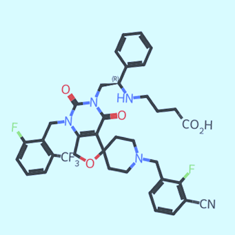 N#Cc1cccc(CN2CCC3(CC2)OCc2c3c(=O)n(C[C@H](NCCCC(=O)O)c3ccccc3)c(=O)n2Cc2c(F)cccc2C(F)(F)F)c1F